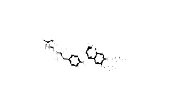 COc1cc2nccc(Oc3ccc(CC(=O)Nc4nc(C)cs4)cc3)c2cc1OC